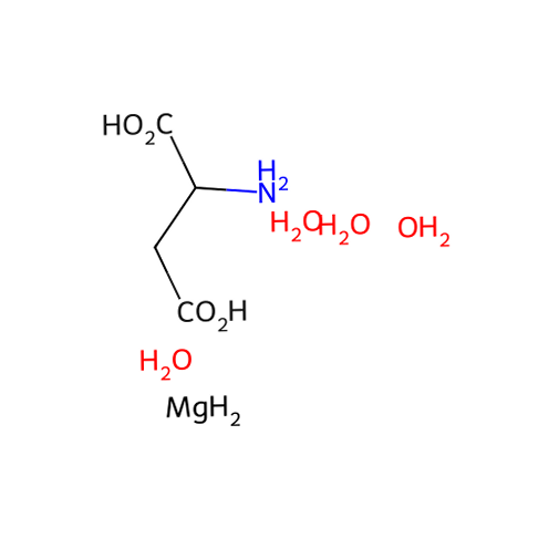 NC(CC(=O)O)C(=O)O.O.O.O.O.[MgH2]